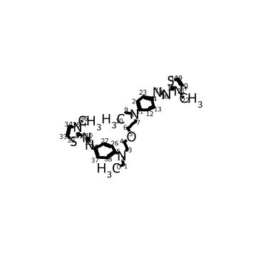 CCN(CCOCCN(CC)c1ccc(N=Nc2scc[n+]2C)cc1)c1ccc(N=Nc2scc[n+]2C)cc1